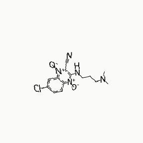 CN(C)CCCNc1c(C#N)[n+]([O-])c2cc(Cl)ccc2[n+]1[O-]